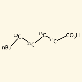 [13CH3][13CH2][13CH2][13CH2][13CH2][13CH2][13CH2][13CH2][13C](=O)O